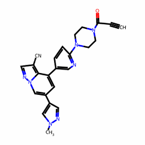 C#CC(=O)N1CCN(c2ccc(-c3cc(-c4cnn(C)c4)cn4ncc(C#N)c34)cn2)CC1